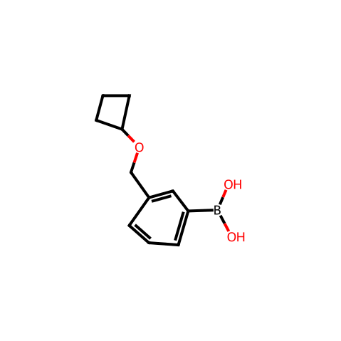 OB(O)c1cccc(COC2CCC2)c1